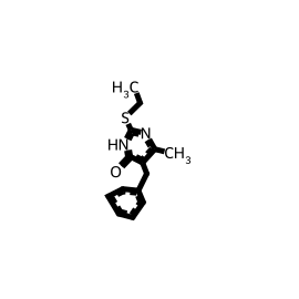 CCSc1nc(C)c(Cc2ccccc2)c(=O)[nH]1